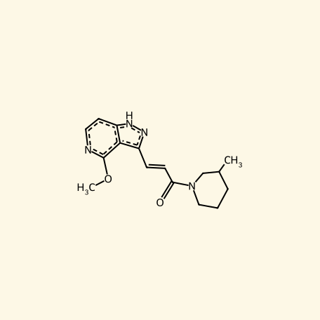 COc1nccc2[nH]nc(C=CC(=O)N3CCCC(C)C3)c12